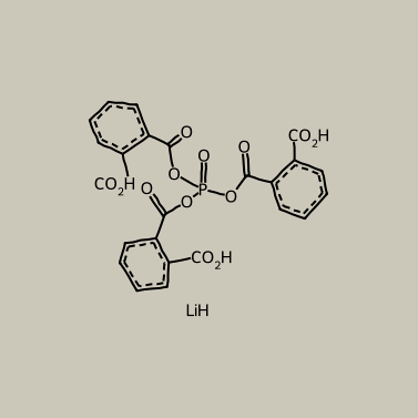 O=C(O)c1ccccc1C(=O)OP(=O)(OC(=O)c1ccccc1C(=O)O)OC(=O)c1ccccc1C(=O)O.[LiH]